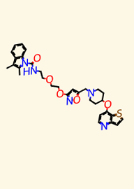 Cc1c(C)n(C(=O)NCCOCCOc2cc(CN3CCC(Oc4ccnc5ccsc45)CC3)on2)c2ccccc12